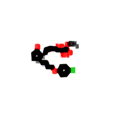 COC(=O)C(O)(O)CC=C=CC[C@H]1C(=O)CC[C@@H]1/C=C/CCOc1ccc(Cl)cc1